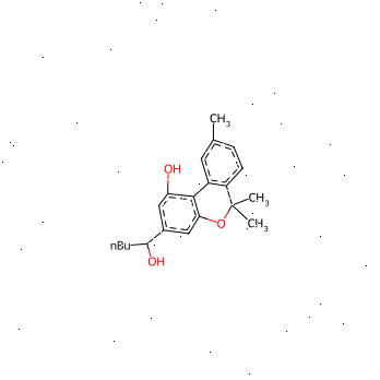 CCCCC(O)c1cc(O)c2c(c1)OC(C)(C)c1ccc(C)cc1-2